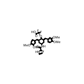 COc1ccc(/C=C2\CC(NC(=O)c3ncc[nH]3)C/C(=C\c3ccc(OC)c(OC)c3)C2=O)cc1OC.O=C(O)C(F)(F)F